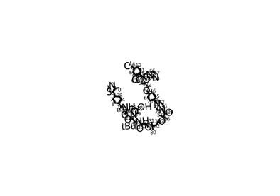 Cc1ncsc1-c1ccc([C@H](C)NC(=O)[C@@H]2C[C@@H](O)CN2C(=O)C(NC(=O)COC(C)(C)CCOC(C)(C)C(=O)N2CCN(c3ccc(OC[C@H]4CO[C@](Cn5ccnc5)(c5ccc(Cl)cc5Cl)O4)cc3)CC2)C(C)(C)C)cc1